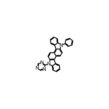 c1ccc(-n2c3ccccc3c3c4ccc5c(c4ccc32)c2ccccc2n5-c2ncncn2)cc1